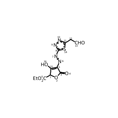 CCOC(=O)C1OC(=O)C(N=Nc2nnc(CC=O)s2)=C1O